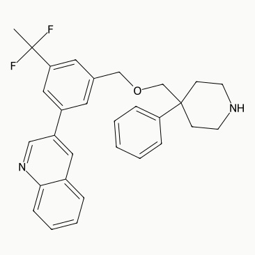 CC(F)(F)c1cc(COCC2(c3ccccc3)CCNCC2)cc(-c2cnc3ccccc3c2)c1